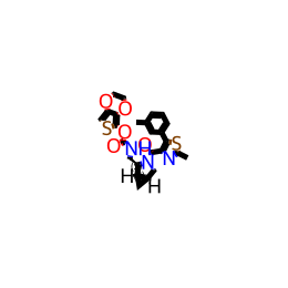 Cc1cccc(-c2sc(C)nc2C(=O)N2C[C@@H]3C[C@@H]3[C@H]2CNC(=O)Oc2scc3c2OCCO3)c1